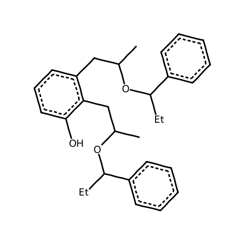 CCC(OC(C)Cc1cccc(O)c1CC(C)OC(CC)c1ccccc1)c1ccccc1